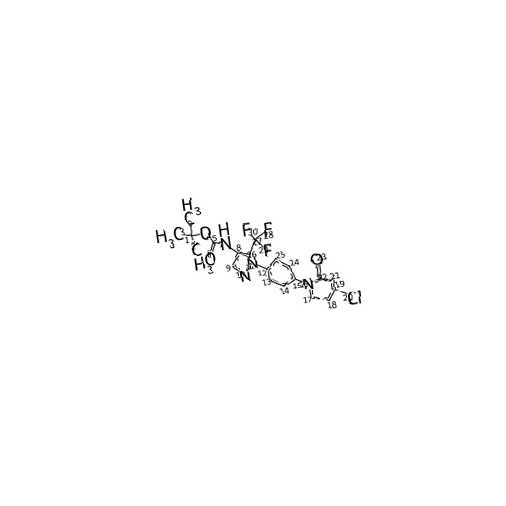 CC(C)(C)OC(=O)Nc1cnn(-c2ccc(-n3ccc(Cl)cc3=O)cc2)c1C(F)(F)F